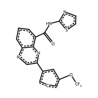 O=C(Nc1nccs1)c1cccc2ncc(-c3cccc(OC(F)(F)F)c3)nc12